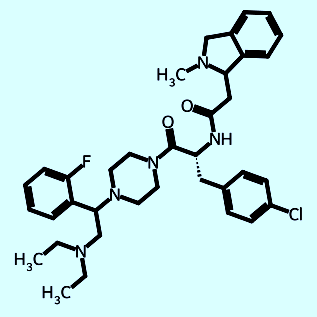 CCN(CC)CC(c1ccccc1F)N1CCN(C(=O)[C@@H](Cc2ccc(Cl)cc2)NC(=O)CC2c3ccccc3CN2C)CC1